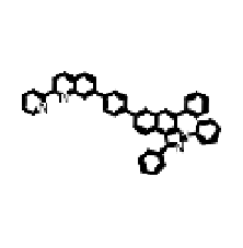 c1ccc(-c2nn(-c3ccccc3)c3c(-c4ccccc4)cc4cc(-c5ccc(-c6ccc7ccc(-c8ccccn8)nc7c6)cc5)ccc4c23)cc1